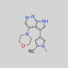 Cn1cc(-c2c[nH]c3nncc(N4CCOCC4)c23)cc1C#N